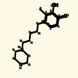 Cc1c(O)c(=O)ccn1CCCCCN1CCOCC1